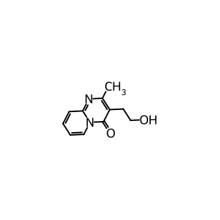 Cc1nc2ccccn2c(=O)c1CCO